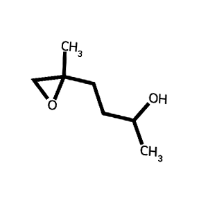 CC(O)CCC1(C)CO1